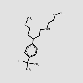 CNCCNCCC(CCOC)c1ccc(C(C)(C)C)cc1